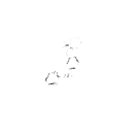 CS(=O)(=O)Cc1cccc(Nc2ncccn2)c1